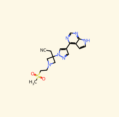 CS(=O)(=O)CCN1CC(CC#N)(n2cc(-c3ncnc4[nH]ccc34)cn2)C1